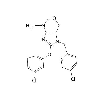 CN1COCc2c1nc(Oc1cccc(Cl)c1)n2Cc1ccc(Cl)cc1